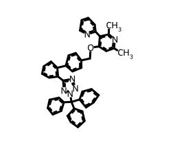 Cc1cc(OCc2ccc(-c3ccccc3-c3nnn(C(c4ccccc4)(c4ccccc4)c4ccccc4)n3)cc2)c(-c2ccccn2)c(C)n1